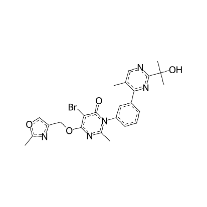 Cc1nc(COc2nc(C)n(-c3cccc(-c4nc(C(C)(C)O)ncc4C)c3)c(=O)c2Br)co1